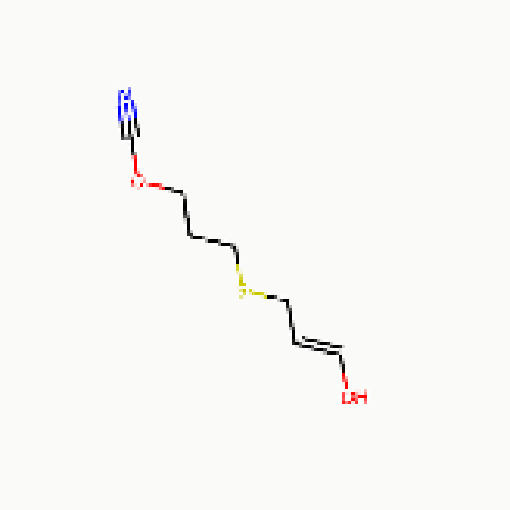 N#COCCCSCC=CO